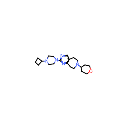 c1nc(N2CCN(C3CCC3)CC2)nc2c1CCN(C1CCOCC1)CC2